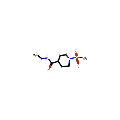 CCNC(=O)C1CCN(S(C)(=O)=O)CC1